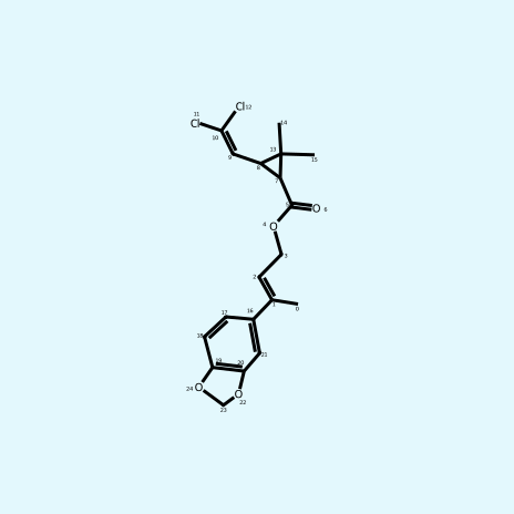 CC(=CCOC(=O)C1C(C=C(Cl)Cl)C1(C)C)c1ccc2c(c1)OCO2